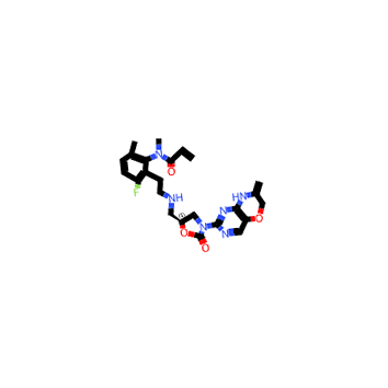 C=CC(=O)N(C)c1c(C)ccc(F)c1CCNC[C@H]1CN(c2ncc3c(n2)NC(=C)CO3)C(=O)O1